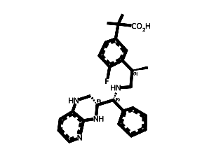 C[C@@H](CN[C@H](c1ccccc1)[C@H]1CNc2cccnc2N1)c1cc(C(C)(C)C(=O)O)ccc1F